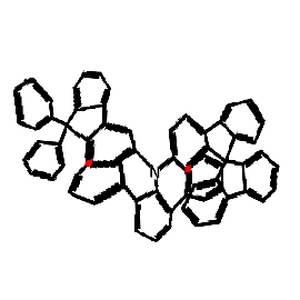 c1ccc(-c2cccc(-c3ccccc3)c2N(c2ccc3c(c2)-c2ccccc2C3(c2ccccc2)c2ccccc2)c2ccc3c(c2)C2(c4ccccc4-c4ccccc42)c2ccccc2-3)cc1